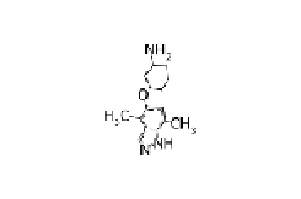 Cc1c(OC2CCCC(N)C2)cc(C)c2[nH]ncc12